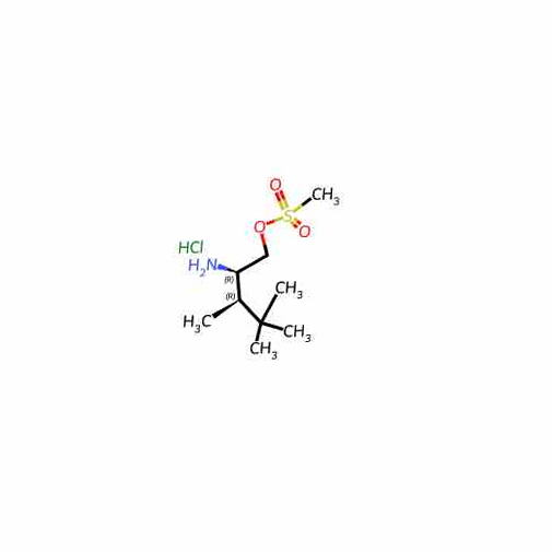 C[C@@H]([C@@H](N)COS(C)(=O)=O)C(C)(C)C.Cl